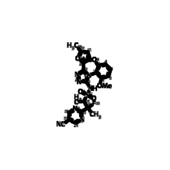 COc1cccc(OC)c1-n1c(NS(=O)(=O)C(C)C(C)(F)c2ncc(C#N)cn2)nnc1-c1ccc(C)o1